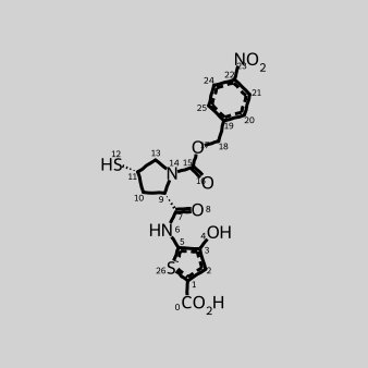 O=C(O)c1cc(O)c(NC(=O)[C@@H]2C[C@H](S)CN2C(=O)OCc2ccc([N+](=O)[O-])cc2)s1